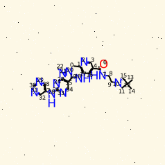 Cc1ncc(C(=O)NCCN2CC(C)(C)C2)cc1Nc1nn(C)c2nc(Nc3cncnc3)ncc12